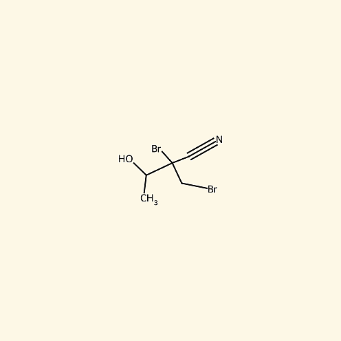 CC(O)C(Br)(C#N)CBr